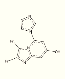 CC(C)c1nc2cc(O)cc(-n3ccnc3)n2c1C(C)C